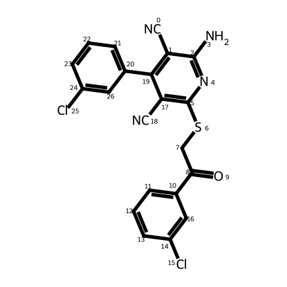 N#Cc1c(N)nc(SCC(=O)c2cccc(Cl)c2)c(C#N)c1-c1cccc(Cl)c1